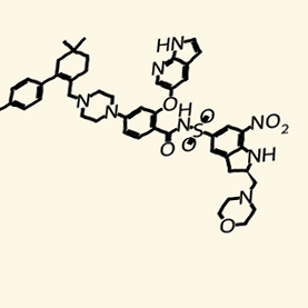 CC1(C)CCC(CN2CCN(c3ccc(C(=O)NS(=O)(=O)c4cc5c(c([N+](=O)[O-])c4)N[C@@H](CN4CCOCC4)C5)c(Oc4cnc5[nH]ccc5c4)c3)CC2)=C(c2ccc(Cl)cc2)C1